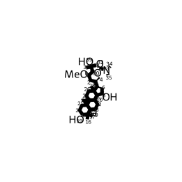 COC(C[C@@H](C)[C@H]1C[C@H](O)[C@@]2(C)C3CC[C@H]4C(C)(C)C(O)CCC45CC35CCC12C)C(OC(=O)N(C)C)C(C)(C)O